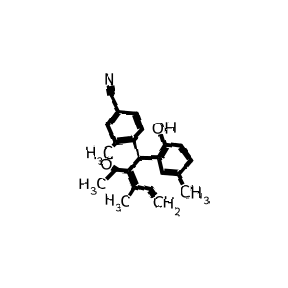 C=C/C(C)=C(/C(C)=O)[C@@H](c1ccc(C#N)cc1C)c1cc(C)ccc1O